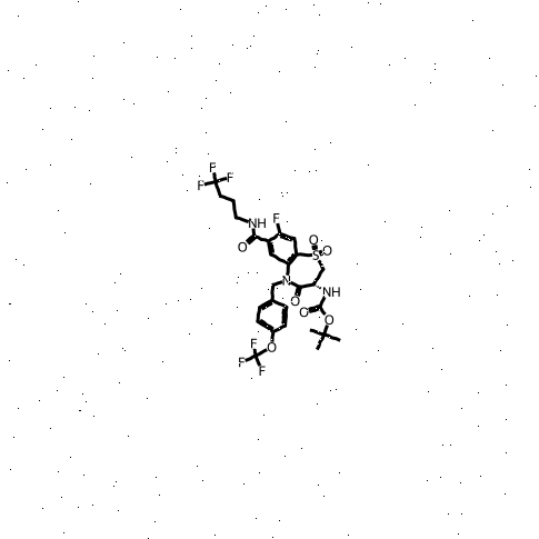 CC(C)(C)OC(=O)N[C@H]1CS(=O)(=O)c2cc(F)c(C(=O)NCCCC(F)(F)F)cc2N(Cc2ccc(OC(F)(F)F)cc2)C1=O